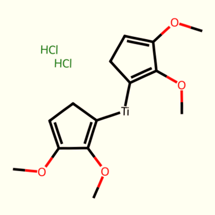 COC1=CC[C]([Ti][C]2=C(OC)C(OC)=CC2)=C1OC.Cl.Cl